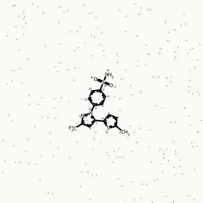 Cc1ccc(-c2cc(C(F)(F)F)nn2-c2ccc(S(N)(=O)=O)cc2)s1